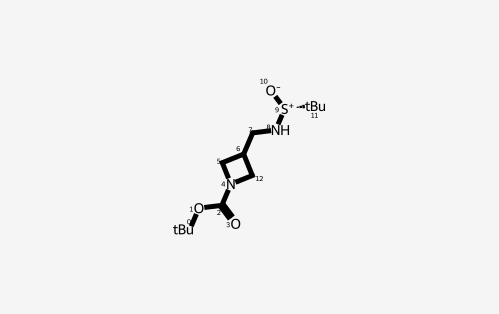 CC(C)(C)OC(=O)N1CC(CN[S@+]([O-])C(C)(C)C)C1